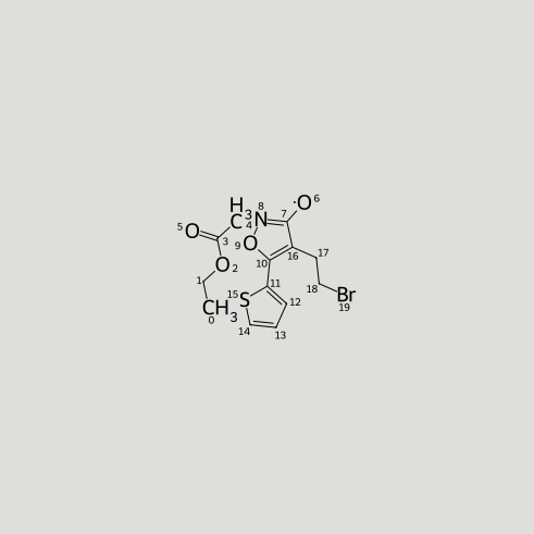 CCOC(C)=O.[O]c1noc(-c2cccs2)c1CCBr